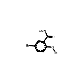 CCOc1ccc(Br)cc1C(=O)NC